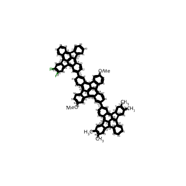 COc1ccc2c(c1)-c1c3cc(-c4ccc5c6c7c(c8ccccc8c8c7c(c5c4)-c4cc(F)c(F)cc4-8)-c4ccccc4-6)ccc3c3c4c(c5cc(-c6ccc7c8c9c(c%10ccccc%10c%10c9c(c7c6)-c6cc(C)c(C)cc6-%10)-c6cc(C)c(C)cc6-8)ccc5c-2c14)-c1cc(OC)ccc1-3